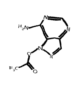 Nc1ncnc2cnn(OC(=O)C(F)(F)F)c12